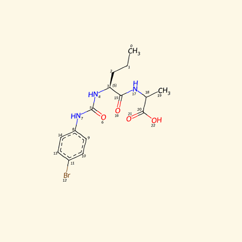 CCC[C@H](NC(=O)Nc1ccc(Br)cc1)C(=O)NC(C)C(=O)O